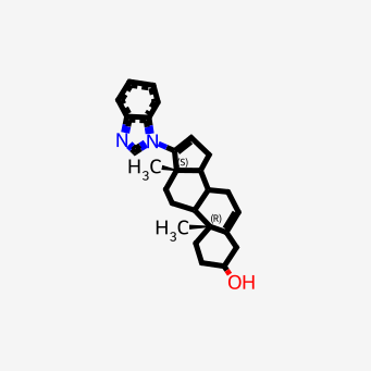 C[C@]12CCC(O)CC1=CCC1C2CC[C@]2(C)C(n3cnc4ccccc43)=CCC12